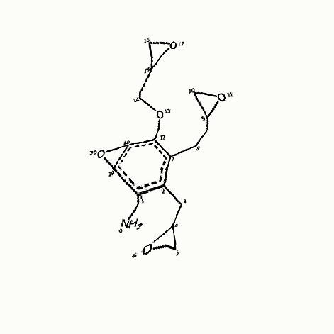 Nc1c(CC2CO2)c(CC2CO2)c(OCC2CO2)c2c1O2